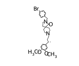 COc1ccc([CH]CCN2CCC3(CC2)CCN(Cc2ccc(Br)cc2)C3=O)cc1OC